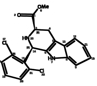 COC(=O)[C@H]1Cc2c([nH]c3ccccc23)[C@@H](c2c(Cl)cccc2Cl)N1